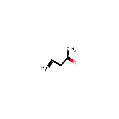 C=CC[C](=O)[GeH2]